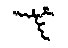 C=C(C)C(=O)O.C=CCOC(=O)CCC(=O)OCC=C